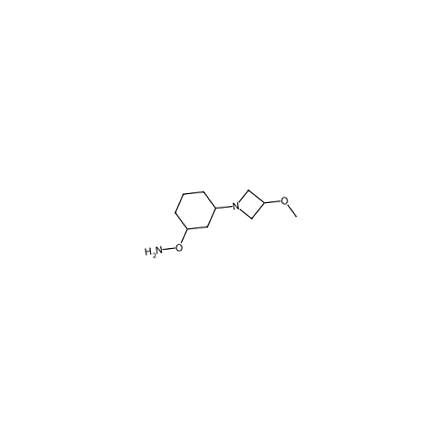 COC1CN(C2CCCC(ON)C2)C1